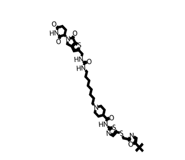 CC(C)(C)c1cnc(CSc2cnc(NC(=O)C3CCN(CCCCCCCCNC(=O)NCc4cc5c(s4)C(=O)N(C4CCC(=O)NC4=O)C5)CC3)s2)o1